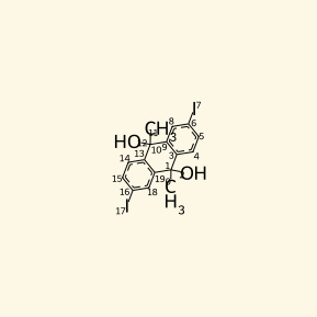 CC1(O)c2ccc(I)cc2C(C)(O)c2ccc(I)cc21